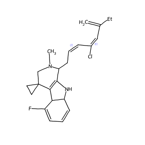 C=C(/C=C(Cl)\C=C/CC1C2=C(C3C(F)=CC=CC3N2)C2(CC2)CN1C)CC